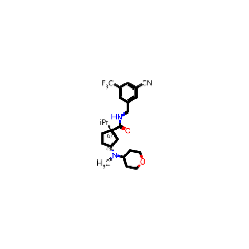 CC(C)[C@]1(C(=O)NCc2cc(C#N)cc(C(F)(F)F)c2)CC[C@@H](N(C)C2CCOCC2)C1